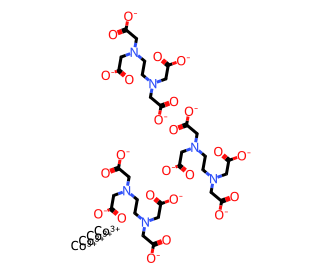 O=C([O-])CN(CCN(CC(=O)[O-])CC(=O)[O-])CC(=O)[O-].O=C([O-])CN(CCN(CC(=O)[O-])CC(=O)[O-])CC(=O)[O-].O=C([O-])CN(CCN(CC(=O)[O-])CC(=O)[O-])CC(=O)[O-].[Co+3].[Co+3].[Co+3].[Co+3]